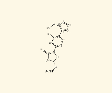 CC(=O)NC[C@H]1CN(c2ccc3c(c2)CSCc2cnoc2-3)C(=O)O1